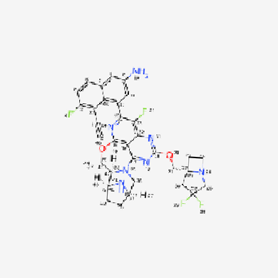 C#Cc1c(F)ccc2cc(N)cc(-c3nc4c5c(nc(OC[C@]67CCN6CC(F)(F)C7)nc5c3F)N3C[C@H]5CC[C@H](N5)[C@H]3[C@H](C)O4)c12